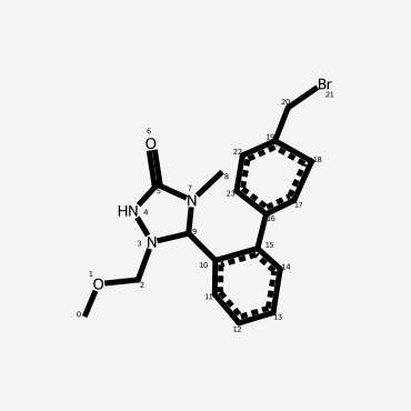 COCN1NC(=O)N(C)C1c1ccccc1-c1ccc(CBr)cc1